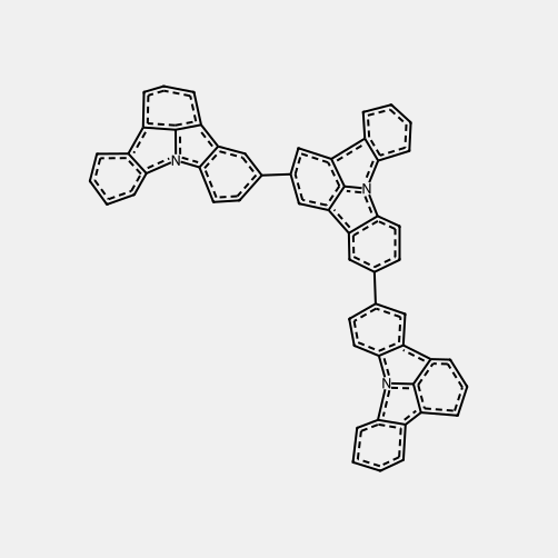 c1ccc2c(c1)c1cccc3c4cc(-c5ccc6c(c5)c5cc(-c7ccc8c(c7)c7cccc9c%10ccccc%10n8c97)cc7c8ccccc8n6c75)ccc4n2c13